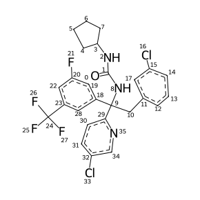 O=C(NC1CCCC1)NC(Cc1cccc(Cl)c1)(c1cc(F)cc(C(F)(F)F)c1)c1ccc(Cl)cn1